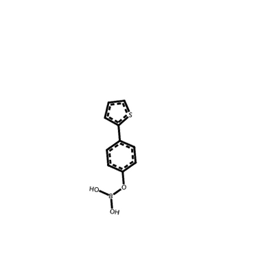 OB(O)Oc1ccc(-c2cccs2)cc1